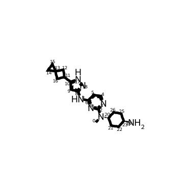 CN(c1nccc(Nc2cc(C3CC4(CC4)C3)[nH]n2)n1)[C@H]1CC[C@H](N)CC1